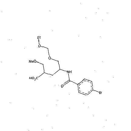 CCOCOCC(CC(COC)C(=O)O)NC(=O)c1ccc(Br)cc1